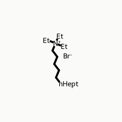 CCCCCCCCCCCC[N+](CC)(CC)CC.[Br-]